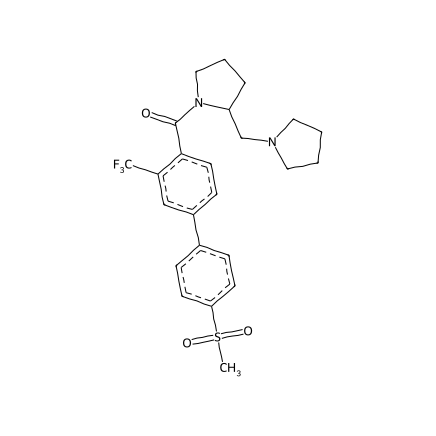 CS(=O)(=O)c1ccc(-c2ccc(C(=O)N3CCCC3CN3CCCC3)c(C(F)(F)F)c2)cc1